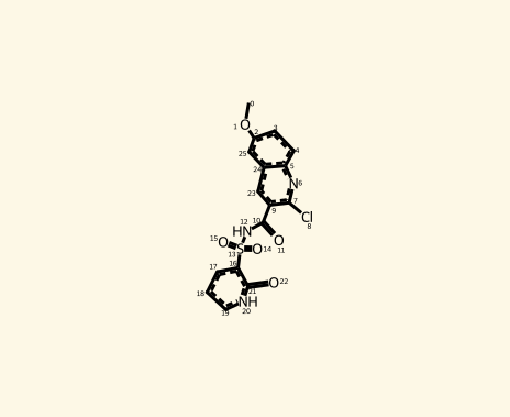 COc1ccc2nc(Cl)c(C(=O)NS(=O)(=O)c3ccc[nH]c3=O)cc2c1